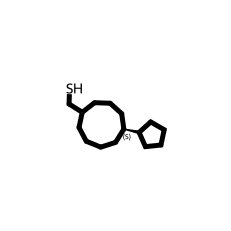 SCC1CCCC[C@H](C2CCCC2)CCC1